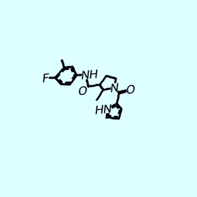 Cc1cc(NC(=O)C2CCN(C(=O)c3ccc[nH]3)C2C)ccc1F